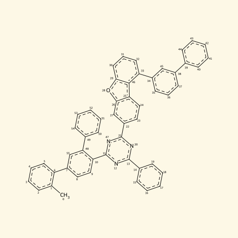 Cc1ccccc1-c1ccc(-c2nc(-c3ccccc3)nc(-c3ccc4c(c3)oc3cccc(-c5cccc(-c6ccccc6)c5)c34)n2)c(-c2ccccc2)c1